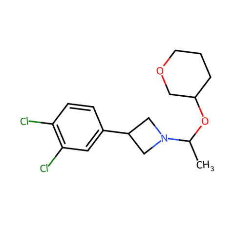 CC(OC1CCCOC1)N1CC(c2ccc(Cl)c(Cl)c2)C1